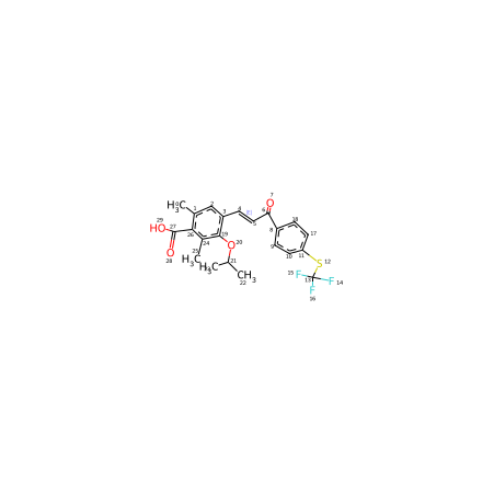 Cc1cc(/C=C/C(=O)c2ccc(SC(F)(F)F)cc2)c(OC(C)C)c(C)c1C(=O)O